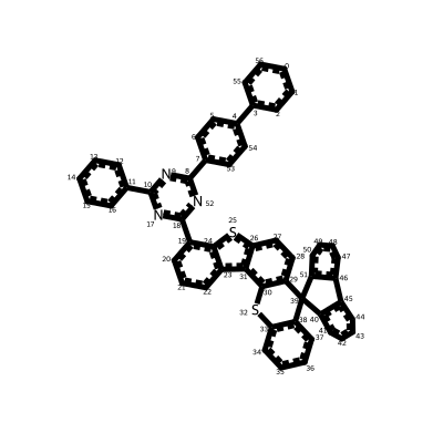 c1ccc(-c2ccc(-c3nc(-c4ccccc4)nc(-c4cccc5c4sc4ccc6c(c45)Sc4ccccc4C64c5ccccc5-c5ccccc54)n3)cc2)cc1